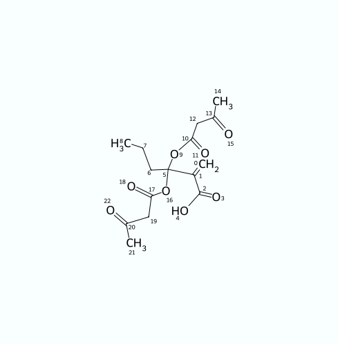 C=C(C(=O)O)C(CCC)(OC(=O)CC(C)=O)OC(=O)CC(C)=O